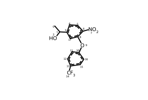 CC(O)c1ccc([N+](=O)[O-])c(Oc2ccc(C(F)(F)F)cc2)c1